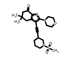 CC1(C)CC(=O)c2sc(N3CCOCC3)c(C#CC3CCCN(S(C)(=O)=O)C3)c2C1